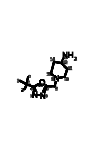 CC(C)(C)c1nnc(CN2CCC(N)CC2)o1